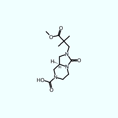 COC(=O)C(C)(C)CN1C[C@@H]2CN(C(=O)O)CCN2C1=O